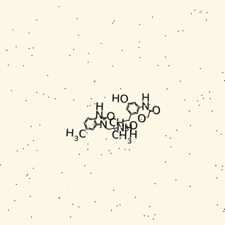 Cc1ccc2[nH]c(=O)n(CC(C)(C)NCC(O)c3cc(O)cc4c3OCC(=O)N4)c2c1